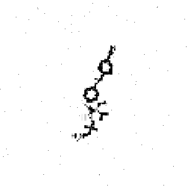 CCN(/C(=N\c1ccc(OCc2ccc(C#N)cc2)cc1)NCC(C)(C)CN)C(C)C